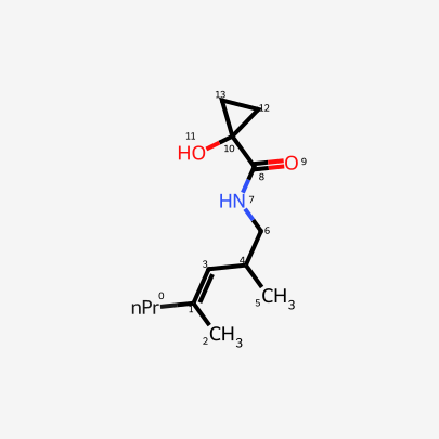 CCCC(C)=CC(C)CNC(=O)C1(O)CC1